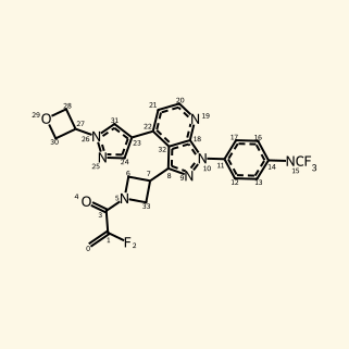 C=C(F)C(=O)N1CC(c2nn(-c3ccc(NC(F)(F)F)cc3)c3nccc(-c4cnn(C5COC5)c4)c23)C1